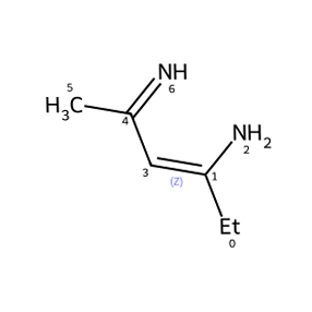 CC/C(N)=C/C(C)=N